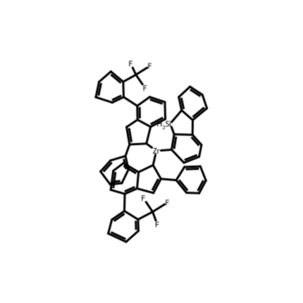 FC(F)(F)c1ccccc1-c1cccc2c1C=C(c1ccccc1)[CH]2[Zr]([c]1cccc2c1[SiH2]c1ccccc1-2)[CH]1C(c2ccccc2)=Cc2c(-c3ccccc3C(F)(F)F)cccc21